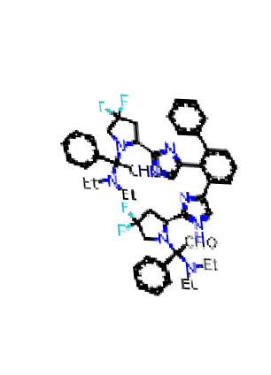 CCN(CC)C(C=O)(c1ccccc1)N1CC(F)(F)C[C@H]1c1nc(-c2cccc(-c3ccccc3)c2-c2c[nH]c([C@@H]3CC(F)(F)CN3C(C=O)(c3ccccc3)N(CC)CC)n2)c[nH]1